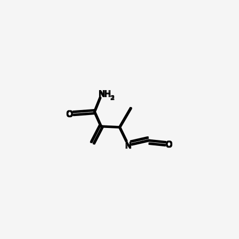 C=C(C(N)=O)C(C)N=C=O